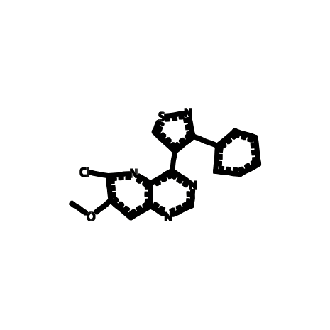 COc1cc2ncnc(-c3csnc3-c3ccccc3)c2nc1Cl